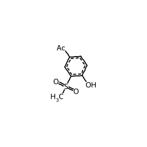 CC(=O)c1ccc(O)c(S(C)(=O)=O)c1